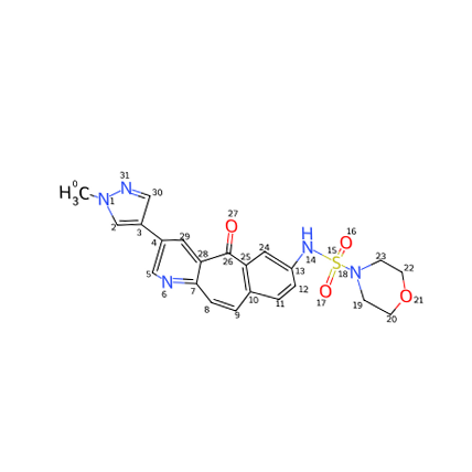 Cn1cc(-c2cnc3ccc4ccc(NS(=O)(=O)N5CCOCC5)cc4c(=O)c3c2)cn1